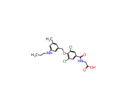 CCCNc1cc(C)cc(COc2c(Cl)cc(C(=O)NCC(=O)O)cc2Cl)c1